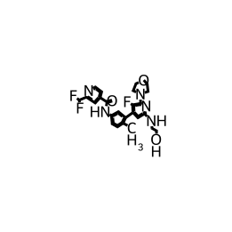 Cc1ccc(NC(=O)c2ccnc(C(F)F)c2)cc1-c1cc(NCCO)nc(N2CCOCC2)c1F